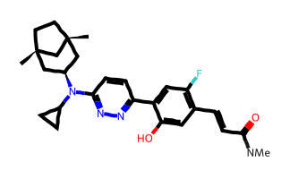 CNC(=O)/C=C/c1cc(O)c(-c2ccc(N(C3CC3)[C@H]3C[C@]4(C)CC[C@](C)(C3)C4)nn2)cc1F